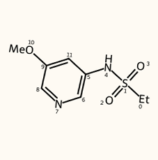 CCS(=O)(=O)Nc1cncc(OC)c1